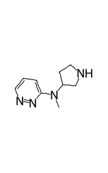 CN(c1cccnn1)C1CCNC1